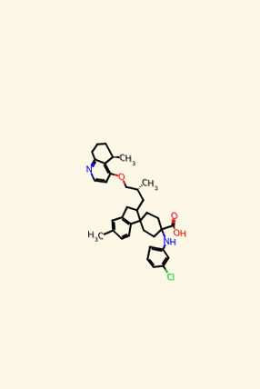 Cc1ccc2c(c1)CC(C[C@@H](C)COc1ccnc3c1[C@H](C)CCC3)C21CCC(Nc2cccc(Cl)c2)(C(=O)O)CC1